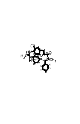 C=C1Nc2c(Cl)cc3cc(C(=O)N(C)Cc4ccccc4)oc3c2C2(CCCCC2)N1